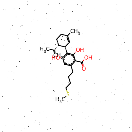 C=C(C)[C@@H]1CCC(C)=C[C@H]1c1c(O)cc(CCCCSC)c(C(=O)O)c1O